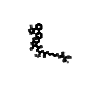 CCCCc1nc(Cl)c(C(=O)OC(C)OC(=O)OCCCO/N=[N+](\[O-])N(C)C(C)(C)C)n1Cc1ccc(-c2ccccc2-c2nnn[nH]2)cc1